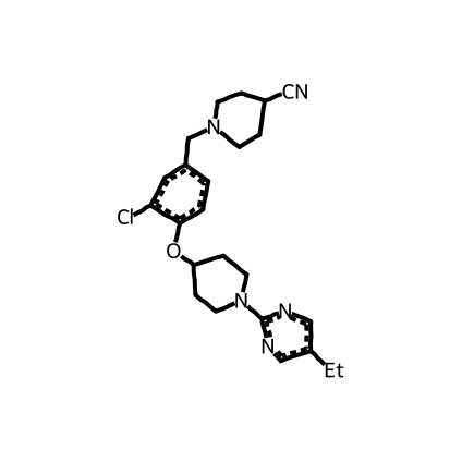 CCc1cnc(N2CCC(Oc3ccc(CN4CCC(C#N)CC4)cc3Cl)CC2)nc1